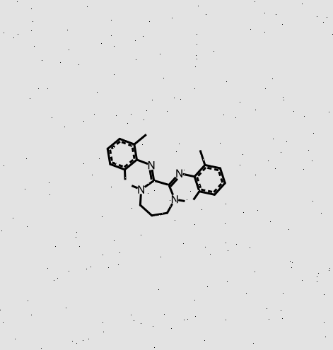 Cc1cccc(C)c1N=C1C(=Nc2c(C)cccc2C)N(C)CCCN1C